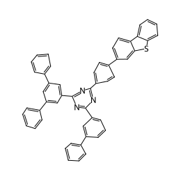 c1ccc(-c2cccc(-c3nc(-c4ccc(-c5ccc6c(c5)sc5ccccc56)cc4)nc(-c4cc(-c5ccccc5)cc(-c5ccccc5)c4)n3)c2)cc1